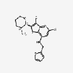 N[C@H]1CCCO[C@H]1c1sc2c(NCc3cccs3)cc(Cl)nc2c1Cl